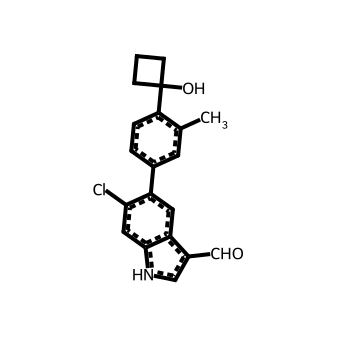 Cc1cc(-c2cc3c(C=O)c[nH]c3cc2Cl)ccc1C1(O)CCC1